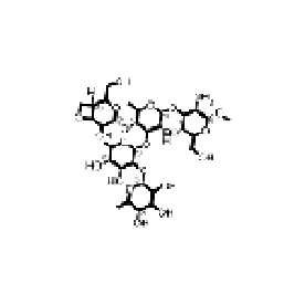 CO[C@@H]1OC(CO)[C@@H](O)C(O[C@@H]2OC(C)[C@H](O[C@H]3OC(CO)[C@H]4COC4C3O)C(O[C@@H]3OC(C)[C@H](O)C(O)C3O[C@@H]3OC(C)[C@H](O)C(O)C3O)C2O)C1N